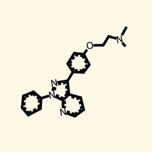 CN(C)CCOc1ccc(-c2nn(-c3ccccc3)c3ncccc23)cc1